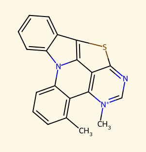 Cc1cccc2c1c1c3c(nc[n+]1C)sc1c4ccccc4n2c13